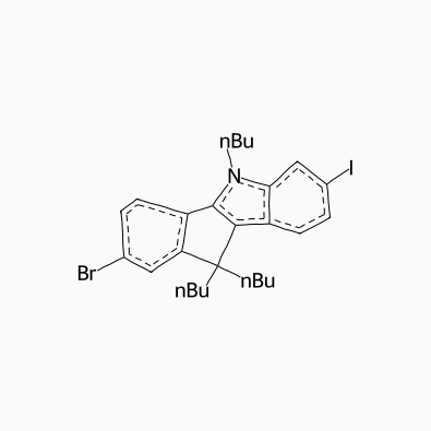 CCCCn1c2c(c3ccc(I)cc31)C(CCCC)(CCCC)c1cc(Br)ccc1-2